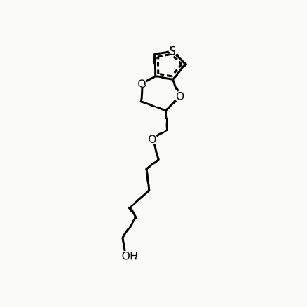 OCCCCCCOCC1COc2cscc2O1